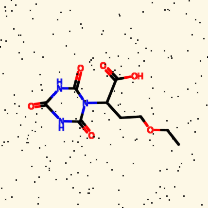 CCOCCC(C(=O)O)n1c(=O)[nH]c(=O)[nH]c1=O